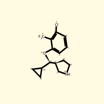 FC(F)(F)c1c(Cl)cccc1O[C@H](C1CC1)[C@H]1CCNC1